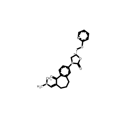 CN(C)C=C1CCCc2cc(N3C[C@H](COc4ccccn4)OC3=O)ccc2C1=O